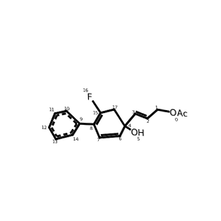 CC(=O)OCC=CC1(O)C=CC(c2ccccc2)=C(F)C1